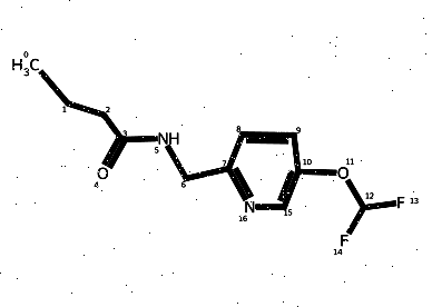 CCCC(=O)NCc1ccc(OC(F)F)cn1